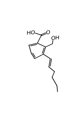 CCCCC=Cc1cccc(C(=O)O)c1CO